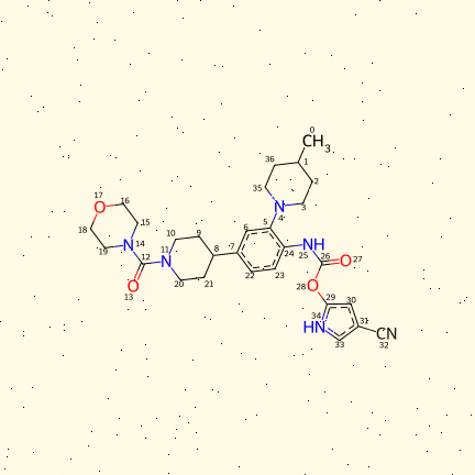 CC1CCN(c2cc(C3CCN(C(=O)N4CCOCC4)CC3)ccc2NC(=O)Oc2cc(C#N)c[nH]2)CC1